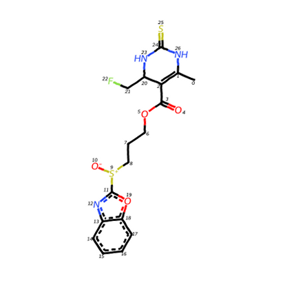 CC1=C(C(=O)OCCC[S+]([O-])c2nc3ccccc3o2)C(CF)NC(=S)N1